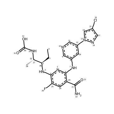 CC[C@@H](Nc1nc(Nc2cncc(-n3cc(Cl)cn3)c2)c(C(N)=O)cc1F)[C@H](C)NC(=O)O